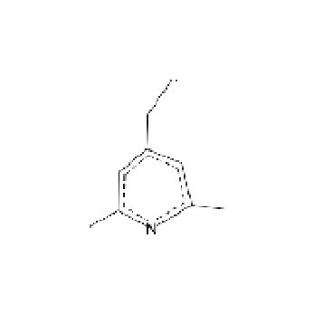 [CH2]Cc1cc(C)nc(C)c1